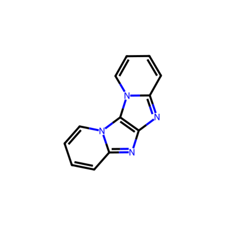 c1ccn2c(c1)nc1nc3ccccn3c12